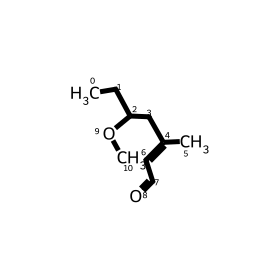 CCC(CC(C)=CC=O)OC